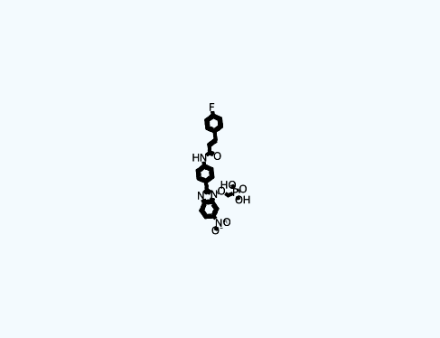 O=C(C=Cc1ccc(F)cc1)Nc1ccc(-c2nc3ccc([N+](=O)[O-])cc3n2OCP(=O)(O)O)cc1